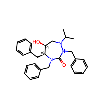 CC(C)N1C[C@H](O)[C@H](Cc2ccccc2)N(Cc2ccccc2)C(=O)N1Cc1ccccc1